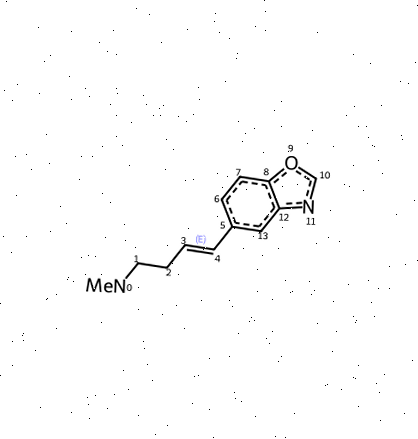 CNCC/C=C/c1ccc2ocnc2c1